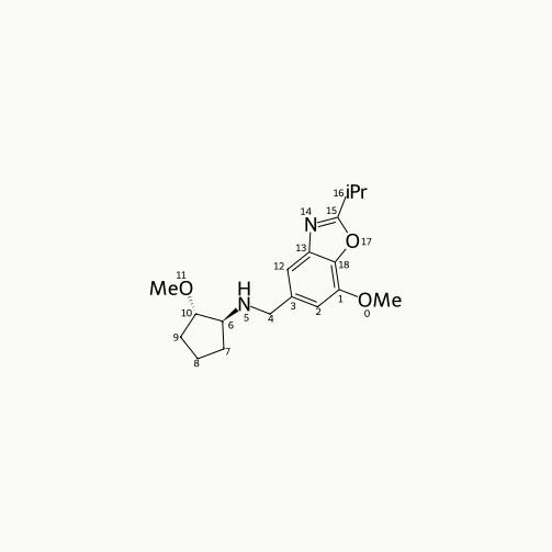 COc1cc(CN[C@H]2CCC[C@@H]2OC)cc2nc(C(C)C)oc12